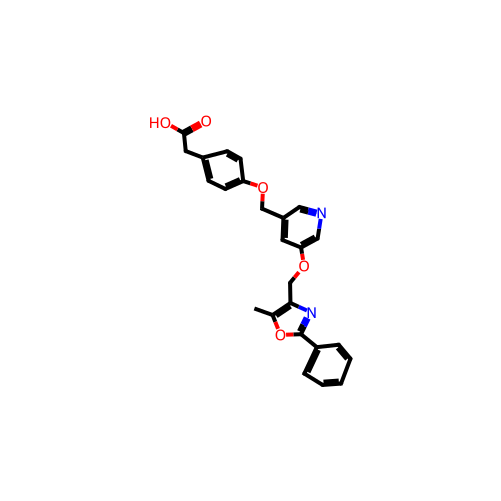 Cc1oc(-c2ccccc2)nc1COc1cncc(COc2ccc(CC(=O)O)cc2)c1